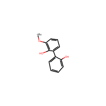 CCCCOc1cccc(-c2ccccc2O)c1O